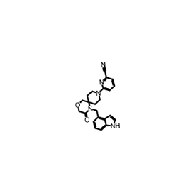 N#Cc1cccc(N2CCC3(CC2)COCC(=O)N3Cc2cccc3[nH]ccc23)n1